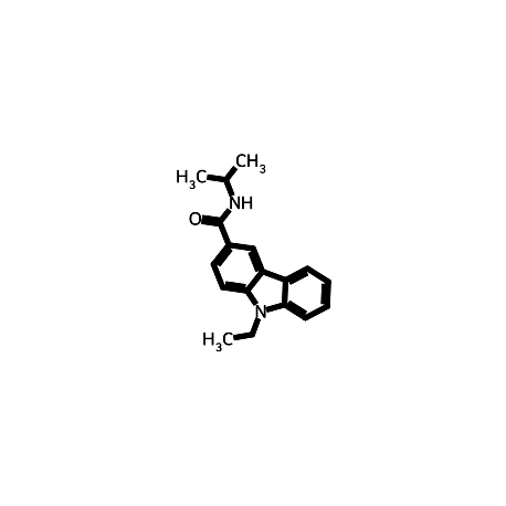 CCn1c2ccccc2c2cc(C(=O)NC(C)C)ccc21